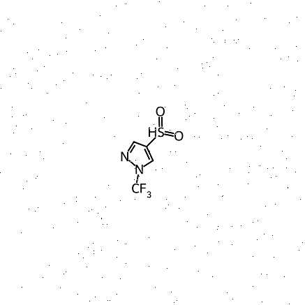 O=[SH](=O)c1cnn(C(F)(F)F)c1